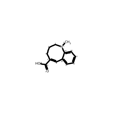 CN1CCCC(C(=O)O)=Cc2ccccc21